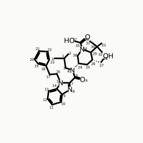 CC(C)CN(C(=O)c1nc2ccccc2n1CCc1ccccc1)[C@H]1C[C@@H](CO)C(C(C)(C)C)N(C(=O)O)C1